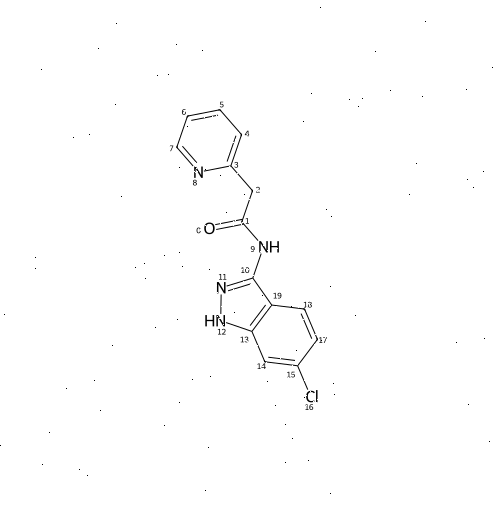 O=C(Cc1ccccn1)Nc1n[nH]c2cc(Cl)ccc12